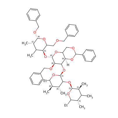 CCC1O[C@@H](OC2[C@H](OC3[C@@H]4OC(c5ccccc5)OCC4O[C@@H](O[C@@H]4C(COCc5ccccc5)O[C@@H](OCc5ccccc5)[C@@H](C)C4C)[C@@H]3OCc3ccccc3)OC(CC)[C@H](C)[C@H]2C)[C@@H](C)C(C)[C@@H]1C